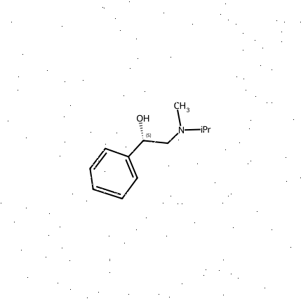 CC(C)N(C)C[C@@H](O)c1ccccc1